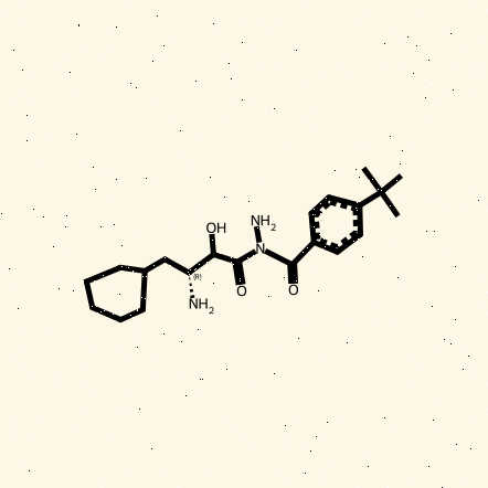 CC(C)(C)c1ccc(C(=O)N(N)C(=O)C(O)[C@H](N)CC2CCCCC2)cc1